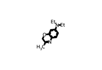 CCN(CC)c1ccc2c(c1)OCC(C)=N2